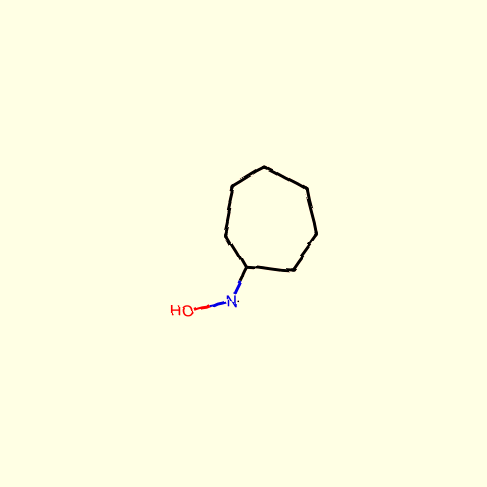 O[N]C1CCCCCC1